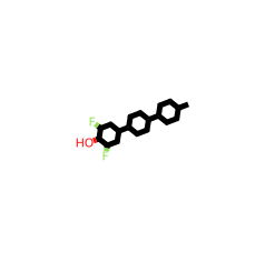 CC1CCC(C2CCC(C3CC(F)C(O)C(F)C3)CC2)CC1